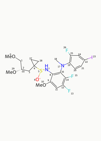 COC[C@H](CC1([S+]([O-])Nc2c(OC)cc(F)c(F)c2N(C)c2ccc(I)cc2F)CC1)OC